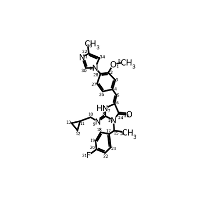 COc1cc(/C=C2\N/C(=N\CC3CC3)N(C(C)c3ccc(F)cc3)C2=O)ccc1-n1cnc(C)c1